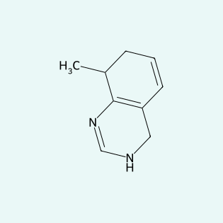 CC1CC=CC2=C1N=CNC2